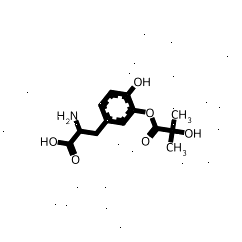 CC(C)(O)C(=O)Oc1cc(CC(N)C(=O)O)ccc1O